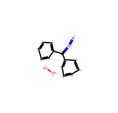 OO.[N-]=[N+]=C(c1ccccc1)c1ccccc1